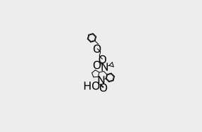 O=C(O)N1c2ccccc2C(N(C(=O)OCCOCc2ccccc2)C2CC2)C2CCCC21